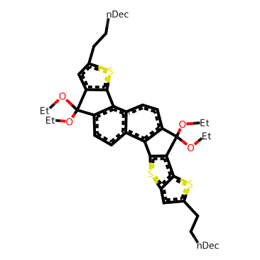 CCCCCCCCCCCCc1cc2c(s1)-c1c(ccc3c4c(ccc13)C(OCC)(OCC)c1c-4sc3cc(CCCCCCCCCCCC)sc13)C2(OCC)OCC